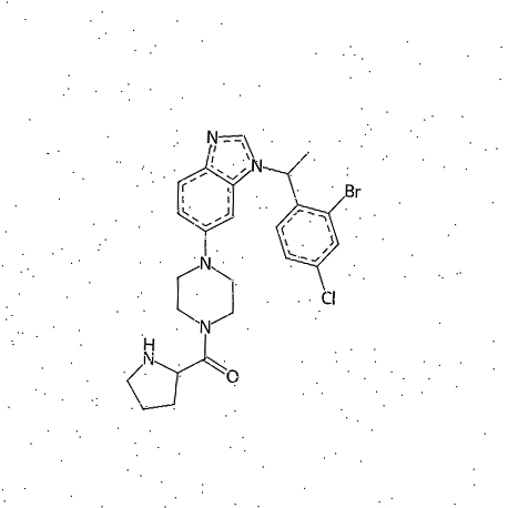 CC(c1ccc(Cl)cc1Br)n1cnc2ccc(N3CCN(C(=O)C4CCCN4)CC3)cc21